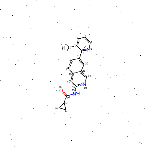 Cc1cccnc1-c1ccc2cc(NC(=O)C3CC3)ncc2c1